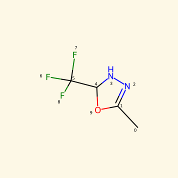 CC1=NNC(C(F)(F)F)O1